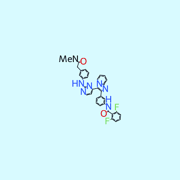 CNC(=O)Cc1cccc(Nc2nccc(-c3c(-c4cccc(NC(=O)c5c(F)cccc5F)c4)nc4ccccn34)n2)c1